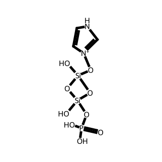 O=P(O)(O)O[Si]1(O)O[Si](O)(O[n+]2cc[nH]c2)O1